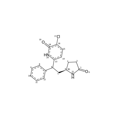 O=C1CC[C@H](CC(c2ccccc2)c2ccc(Cl)c(=O)[nH]2)N1